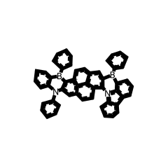 c1ccc(B2c3ccccc3N(c3ccccc3)c3cc4ccc5c6c(cc7ccc(c32)c4c75)B(c2ccccc2)c2cccc3c4ccccc4n-6c23)cc1